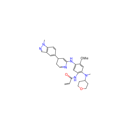 C=CC(=O)Nc1cc(NC2=CC(c3ccc4c(cnn4C)c3)CC=N2)c(OC)cc1N(C)C1CCOCC1